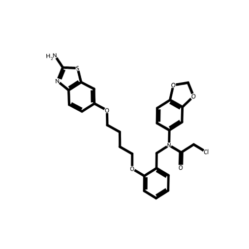 Nc1nc2ccc(OCCCCOc3ccccc3CN(C(=O)CCl)c3ccc4c(c3)OCO4)cc2s1